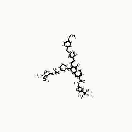 COc1ccc(Cn2nnc(C=Cc3c(N4CCC[C@H](OC(=O)NCC[N+](C)(C)C)C4)nc4cc(C(=O)Nc5nc(C(C)(C)C)cs5)ccn4c3=O)n2)cc1